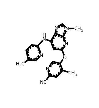 Cc1ccc(Nc2cc(Oc3cnc(C#N)cc3C)nc3c2ncn3C)nc1